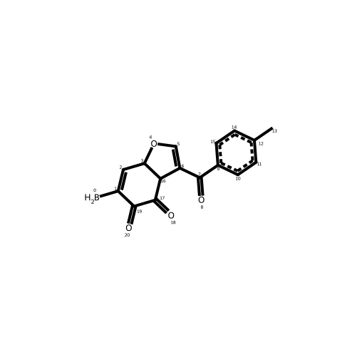 BC1=CC2OC=C(C(=O)c3ccc(C)cc3)C2C(=O)C1=O